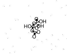 O=P(=O)OP(=O)(O)OP(=O)(O)O